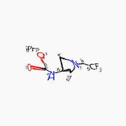 CC(C)OC(=O)NC1CN(CC(F)(F)F)C1